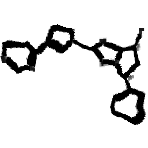 F[C@H]1C[C@@H](c2ccccc2)n2nc(-n3cc(-c4ccncn4)cn3)nc21